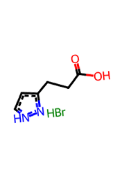 Br.O=C(O)CCc1cc[nH]n1